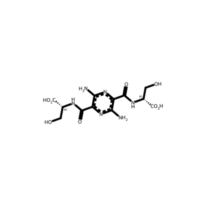 Nc1nc(C(=O)N[C@H](CO)C(=O)O)c(N)nc1C(=O)N[C@H](CO)C(=O)O